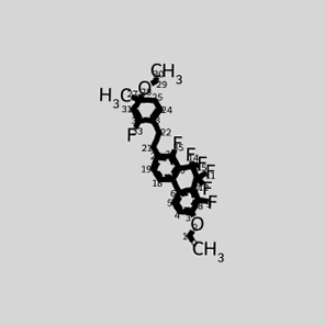 CCOc1ccc2c(c1F)C(F)(F)C(F)(F)c1c-2ccc(CCC2=CCC(C)(OCC)C=C2F)c1F